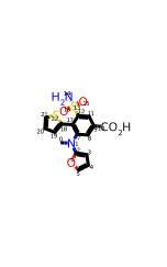 CN(c1ccco1)c1cc(C(=O)O)cc(S(N)(=O)=O)c1-c1cccs1